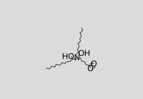 CCCCCCCCCCC(O)CN(CCCCC1COCCO1)CC(O)CCCCCCCCC